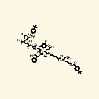 CC(C)(C)c1ccc(C(=O)NCCCC[C@H](NC(=O)CCCCCNC(=O)[C@H](CCC(=O)O)NC(=O)[C@H](Cc2c[nH]c3ccccc23)NC(=O)[C@H](Cc2cccc(F)c2)NC(=O)CNC(=O)[C@H](CCC(=O)O)NC(=O)[C@@H](CC(=O)O)NS(=O)(=O)c2ccc(C(C)(C)C)cc2)C(N)=O)cc1